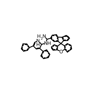 NC(NC1NC=C(c2ccccc2)C=C1c1ccccc1)c1ccc2c(c1)C1(c3ccccc3Oc3ccccc31)c1ccccc1-2